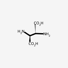 N[C@H](C(=O)O)[C@@H](N)C(=O)O